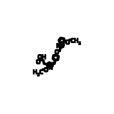 CCOc1nn(Cc2ccc(OCc3cn4c(OCC)cccc4n3)cc2)cc1CCC(=O)O